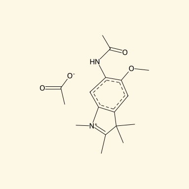 CC(=O)[O-].COc1cc2c(cc1NC(C)=O)[N+](C)=C(C)C2(C)C